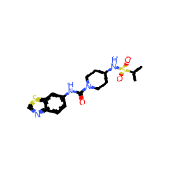 CC(C)S(=O)(=O)NC1CCN(C(=O)Nc2ccc3ncsc3c2)CC1